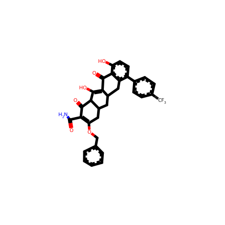 NC(=O)C1=C(OCc2ccccc2)CC2CC3Cc4c(-c5ccc(C(F)(F)F)cc5)ccc(O)c4C(=O)C3=C(O)C2C1=O